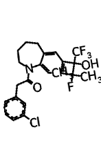 C/C=C1\C(=C/C2=CC(C)(F)C2(O)C(F)(F)F)CCCCN1C(=O)Cc1cccc(Cl)c1